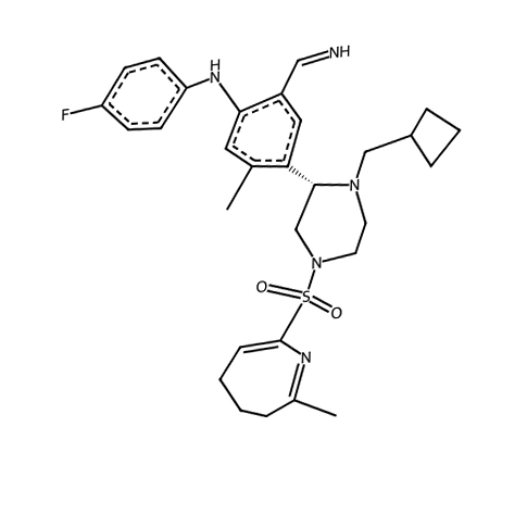 CC1=NC(S(=O)(=O)N2CCN(CC3CCC3)[C@@H](c3cc(C=N)c(Nc4ccc(F)cc4)cc3C)C2)=CCCC1